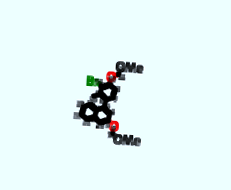 COCOc1cc(-c2ccc(OCOC)c(Br)c2C)c2ccccc2c1